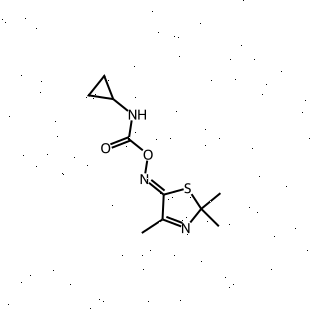 CC1=NC(C)(C)SC1=NOC(=O)NC1CC1